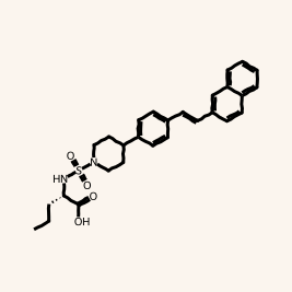 CCC[C@H](NS(=O)(=O)N1CCC(c2ccc(C=Cc3ccc4ccccc4c3)cc2)CC1)C(=O)O